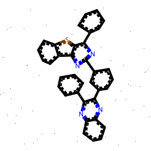 c1ccc(-c2nc3ccccc3nc2-c2cccc(-c3nc(-c4ccccc4)c4sc5ccccc5c4n3)c2)cc1